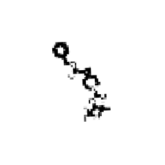 O=C(OCc1ccccc1)C1CC12CCN(C(=O)OC(C(F)(F)F)C(F)(F)F)CC2